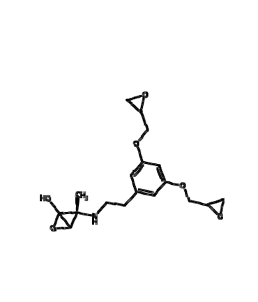 C[C@@]1(NCCc2cc(OCC3CO3)cc(OCC3CO3)c2)C2OC21O